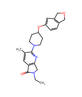 CCN1Cc2nc(N3CCC(Oc4ccc5c(c4)COC5)CC3)c(C)cc2C1=O